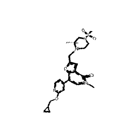 C[C@@H]1CN(S(C)(=O)=O)CCN1Cc1cc2c(=O)n(C)cc(-c3ccnc(OCC4CC4)c3)c2o1